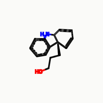 NC1C=CC=C[C@]1(CCCO)c1ccccc1